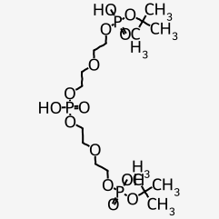 CC(C)(C)OP(=O)(O)OCCOCCOP(=O)(O)OCCOCCOP(=O)(O)OC(C)(C)C